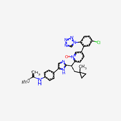 C=C(Nc1ccc(-c2cnc(C(CC3(C)CC3)c3ccc(-c4cc(Cl)ccc4-n4cnnn4)c[n+]3[O-])[nH]2)cc1)OC